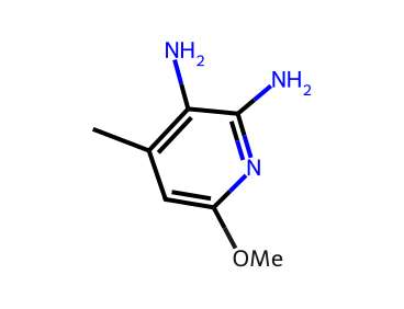 COc1cc(C)c(N)c(N)n1